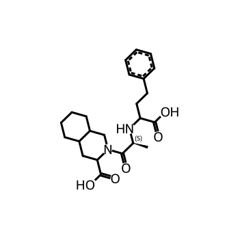 C[C@H](NC(CCc1ccccc1)C(=O)O)C(=O)N1CC2CCCCC2CC1C(=O)O